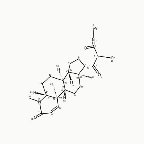 CC(C)NC(=O)N(C(=O)[C@H]1CC[C@H]2[C@@H]3CC[C@H]4N(C)C(=O)C=C[C@]4(C)[C@H]3CC[C@]12C)C(C)C